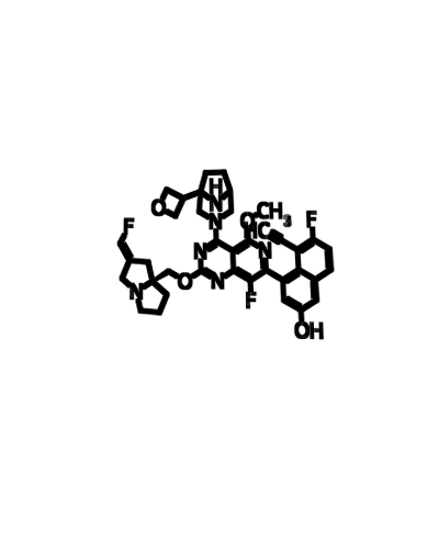 C#Cc1c(F)ccc2cc(O)cc(-c3nc(OC)c4c(N5CC6CCC(C7COC7)(C5)N6)nc(OC[C@@]56CCCN5C/C(=C/F)C6)nc4c3F)c12